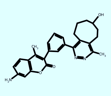 Cc1nnc(-c2cccc(-c3c(C)c4ccc(N)cc4oc3=O)c2)c2c1CCC(O)CCC2